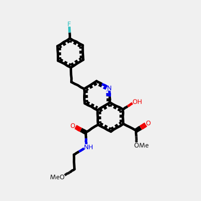 COCCNC(=O)c1cc(C(=O)OC)c(O)c2ncc(Cc3ccc(F)cc3)cc12